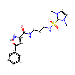 CN1C=CN(C)C1S(=O)(=O)NCCCNC(=O)c1cc(-c2ccccc2)on1